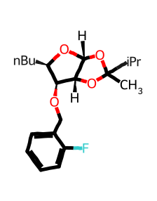 CCCC[C@H]1O[C@@H]2OC(C)(C(C)C)O[C@@H]2[C@H]1OCc1ccccc1F